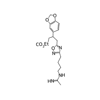 CCOC(=O)CC(Cc1nc(CCCCNC(C)=N)no1)c1ccc2c(c1)OCO2